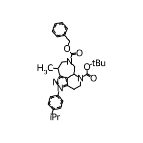 CC(C)c1ccc(-n2nc3c4c2CCN(C(=O)OC(C)(C)C)C4CN(C(=O)OCc2ccccc2)CC3C)cc1